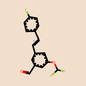 O=Cc1cc(/C=C/c2ccc(F)cc2)cc(OC(F)F)c1